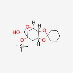 C[Si](C)(C)OC12C[C@@H](OC1O)[C@@H]1OC3(CCCCC3)O[C@@H]1C2